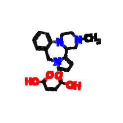 CN1CCN2c3ccccc3Cn3cccc3C2C1.O=C(O)/C=C\C(=O)O